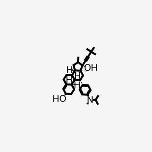 CC(C)N(C)c1ccc([C@H]2C[C@@]3(C)[C@@H](CC(C)[C@@]3(O)C#CC(C)(C)C)[C@@H]3CCC4=CC(O)CC[C@@H]4[C@H]32)cc1